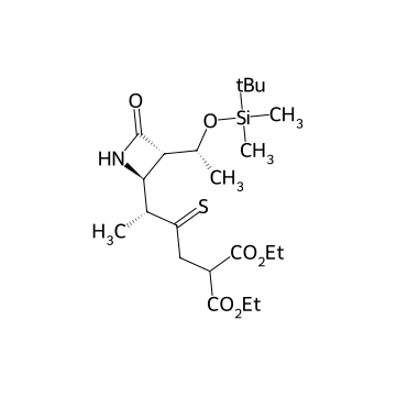 CCOC(=O)C(CC(=S)[C@H](C)[C@H]1NC(=O)[C@@H]1[C@@H](C)O[Si](C)(C)C(C)(C)C)C(=O)OCC